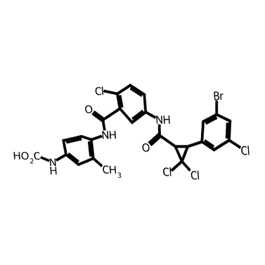 Cc1cc(NC(=O)O)ccc1NC(=O)c1cc(NC(=O)C2C(c3cc(Cl)cc(Br)c3)C2(Cl)Cl)ccc1Cl